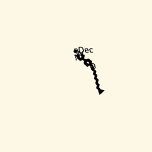 CCCCCCCCCCSc1ncc(-c2ccc(OCCCCCCCCCC3CC3)cc2)cn1